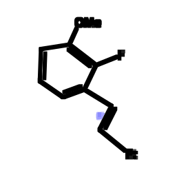 CC/C=C/c1cccc(OC)c1F